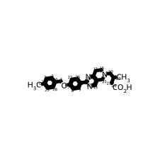 Cc1ccc(COc2ccc(-c3ncc4c(n3)CCN(CC(C)CC(=O)O)C4)cc2)cc1